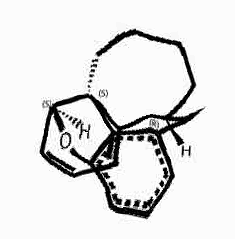 C1=C[C@@H]2Oc3cccc4c3[C@@]23CCCC[C@H](C4)C3=C1